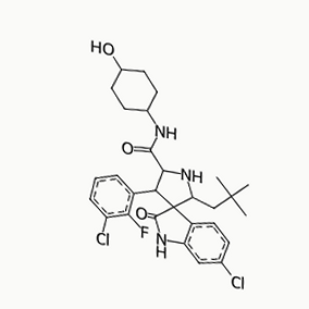 CC(C)(C)CC1NC(C(=O)NC2CCC(O)CC2)C(c2cccc(Cl)c2F)C12C(=O)Nc1cc(Cl)ccc12